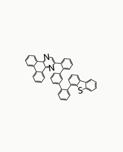 c1cc(-c2ccccc2-c2cnc3c4ccccc4c4ccccc4c3n2)cc(-c2ccccc2-c2cccc3c2sc2ccccc23)c1